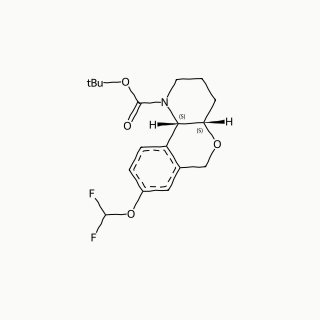 CC(C)(C)OC(=O)N1CCC[C@@H]2OCc3cc(OC(F)F)ccc3[C@@H]21